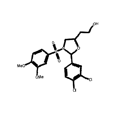 COc1ccc(S(=O)(=O)N2CC(CCO)OC2c2ccc(Cl)c(Cl)c2)cc1OC